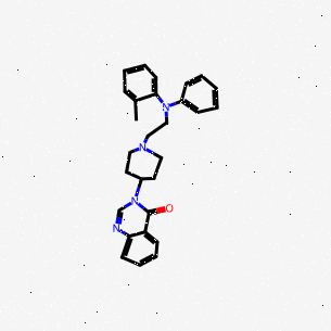 Cc1ccccc1N(CCN1CCC(n2cnc3ccccc3c2=O)CC1)c1ccccc1